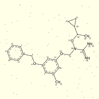 Cc1cc(OCc2ccccc2)cc(OCN(OC(C)C2CC2)C(=N)N)c1